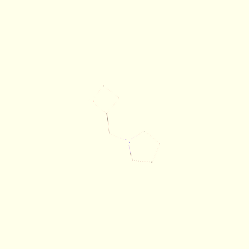 C1CCN(CC2CCO2)C1